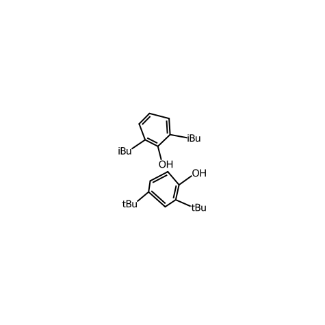 CC(C)(C)c1ccc(O)c(C(C)(C)C)c1.CCC(C)c1cccc(C(C)CC)c1O